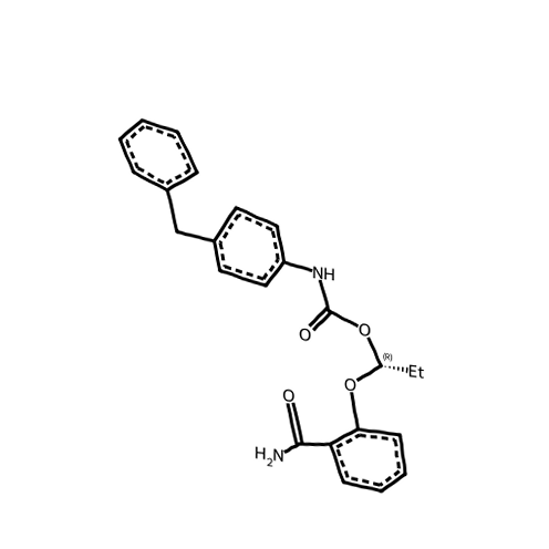 [CH2]C[C@@H](OC(=O)Nc1ccc(Cc2ccccc2)cc1)Oc1ccccc1C(N)=O